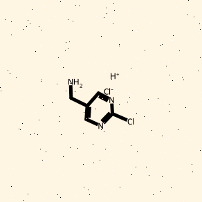 NCc1cnc(Cl)nc1.[Cl-].[H+]